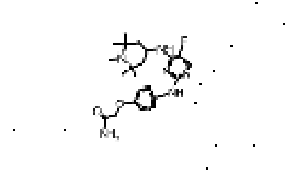 CN1C(C)(C)CC(Nc2nc(Nc3ccc(OCC(N)=O)cc3)ncc2F)CC1(C)C